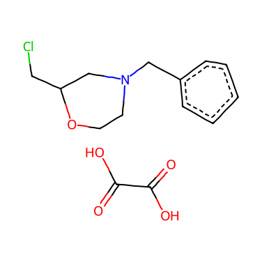 ClCC1CN(Cc2ccccc2)CCO1.O=C(O)C(=O)O